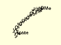 C=C/C=C1/C=CC(OCCOCCOCCOCCOC2=CC/C(=C\C=C/NOC)C=C2)=C/C1=N\OC